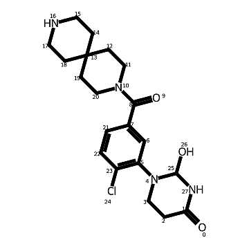 O=C1CCN(c2cc(C(=O)N3CCC4(CCNCC4)CC3)ccc2Cl)C(O)N1